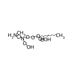 CCCCC/C=C/CC(CC(=O)OCCOCCOCCN(CCOCCO)c1ccc(N)c(C)c1)C(=O)O